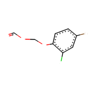 O=COCOc1ccc(Br)cc1Cl